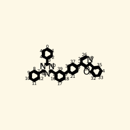 c1ccc(-c2nc(-c3ccccc3)nc(-c3cccc(-c4ccc(-c5ccnc6c5oc5ccccc56)cc4)c3)n2)cc1